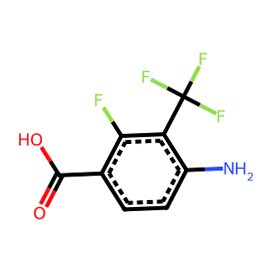 Nc1ccc(C(=O)O)c(F)c1C(F)(F)F